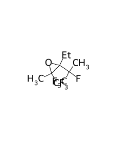 CCC1(C(C)(F)C(F)(F)F)OC1(C)C(F)(F)F